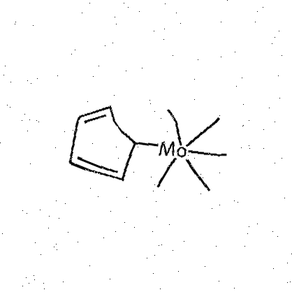 [CH3][Mo]([CH3])([CH3])([CH3])([CH3])[CH]1C=CC=C1